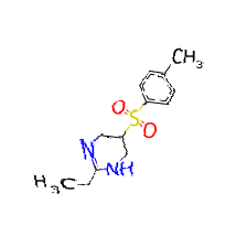 CCC1=NCC(S(=O)(=O)c2ccc(C)cc2)CN1